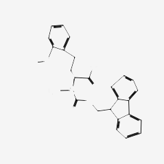 COc1ccccc1CC[C@@H](C(=O)O)N(C)C(=O)OCC1c2ccccc2-c2ccccc21